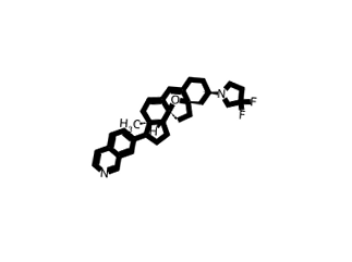 C[C@]12CC=C3C=C4CC[C@@H](N5CCC(F)(F)C5)C[C@]45CC[C@]3(O5)[C@@H]1CCC2c1ccc2ccncc2c1